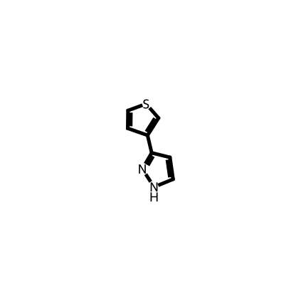 c1cc(-c2ccsc2)n[nH]1